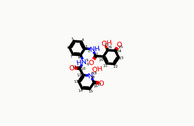 O=C(Nc1ccccc1NC(=O)c1cccc(=O)n1O)C1=CC=CC(=O)C1O